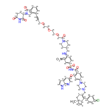 CC1(C)CCC(CN2CCN(c3ccc(C(=O)NS(=O)(=O)c4ccc(NCC5CCN(C(=O)COCCOCCOCC#Cc6cccc7c6CN(C6CCC(=O)NC6=O)C7=O)CC5)c([N+](=O)[O-])c4)c(Oc4cnc5[nH]ccc5c4)c3)CC2)=C(c2ccc(Cl)cc2)C1